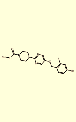 CC(C)(C)OC(=O)N1CCN(c2ncc(OCc3ccc(Br)cc3F)cn2)CC1